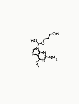 CSc1nc(N)nc2c1ncn2C(O)OCCCO